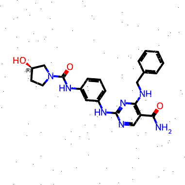 NC(=O)c1cnc(Nc2cccc(NC(=O)N3CC[C@@H](O)C3)c2)nc1NCc1ccccc1